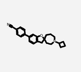 N#Cc1ccc(-c2ccc3c(c2)OC2(CCCN(C4CCC4)CC2)C3)cc1